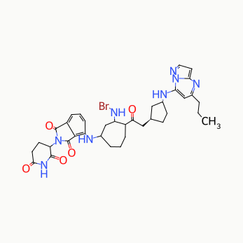 CCCc1cc(N[C@@H]2CC[C@@H](CC(=O)C3CCCC(Nc4cccc5c4C(=O)N(C4CCC(=O)NC4=O)C5=O)CC3NBr)C2)n2nccc2n1